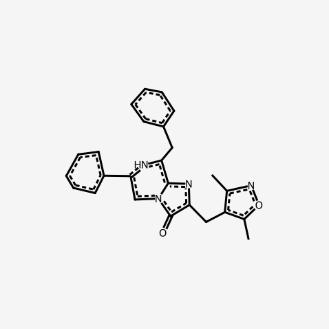 Cc1noc(C)c1Cc1nc2c(Cc3ccccc3)[nH]c(-c3ccccc3)cn-2c1=O